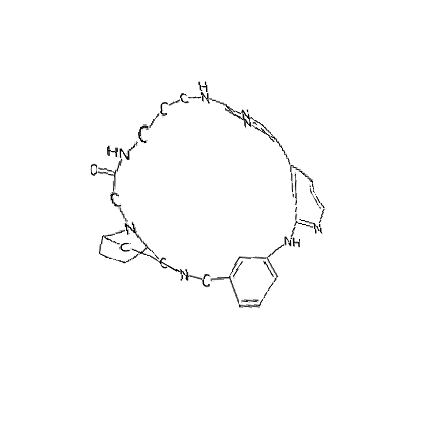 O=C1CN2C3CCC2CN(Cc2cccc(c2)Nc2cc(ccn2)-c2cnc(nc2)NCCCN1)C3